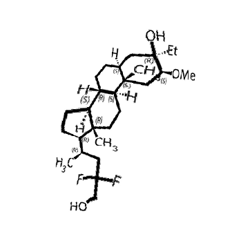 CC[C@@]1(O)C[C@@H]2CC[C@@H]3[C@H](CC[C@]4(C)[C@@H]([C@H](C)CC(F)(F)CO)CC[C@@H]34)[C@@]2(C)C[C@@H]1OC